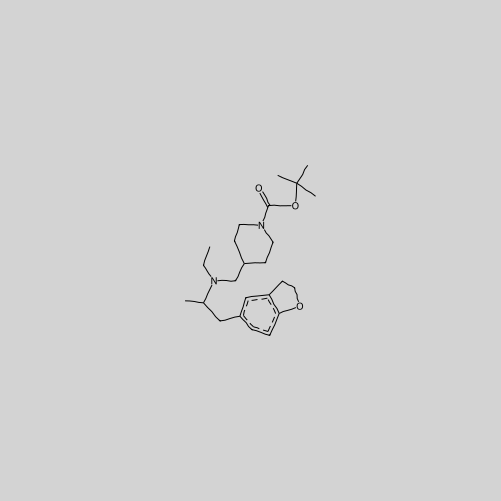 CCN(CC1CCN(C(=O)OC(C)(C)C)CC1)C(C)Cc1ccc2c(c1)CCO2